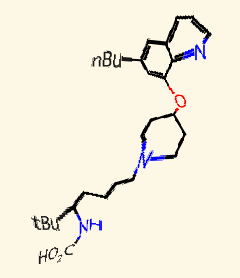 CCCCc1cc(OC2CCN(CCCCC(NC(=O)O)C(C)(C)C)CC2)c2ncccc2c1